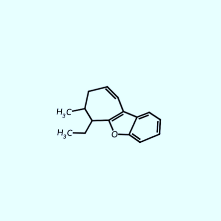 CCC1c2oc3ccccc3c2C=CCC1C